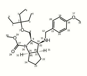 CCC(CC)(CC)OC[C@H]1[C@@H](NCc2ccc(OC)cc2)[C@H]2CCC[C@H]2N1C(=O)OC